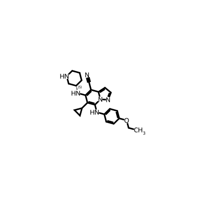 CCOc1ccc(Nc2c(C3CC3)c(N[C@H]3CCCNC3)c(C#N)c3ccnn23)cc1